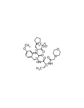 CC[C@H](NC(=O)CN1CCOCC1)C(=O)N[C@@H](Cc1ccc(OC)cc1)C(=O)N[C@@H](CC1CCCC1)C(=O)[C@]1(C)CO1